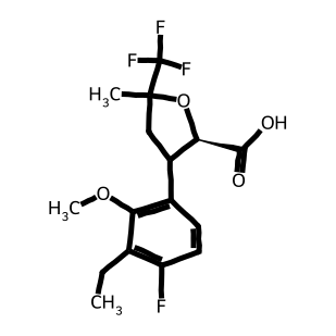 CCc1c(F)ccc(C2CC(C)(C(F)(F)F)O[C@H]2C(=O)O)c1OC